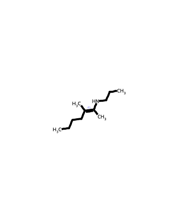 CCCC/C(C)=C(\C)NCCC